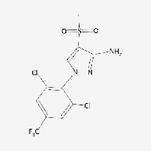 CS(=O)(=O)c1cn(-c2c(Cl)cc(C(F)(F)F)cc2Cl)nc1N